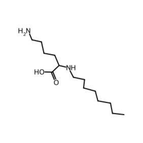 CCCCCCCCNC(CCCCN)C(=O)O